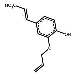 C=CCOc1cc(/C=C/C(=O)O)ccc1O